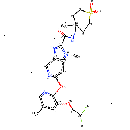 Cc1cnc(Oc2cc3c(cn2)nc(C(=O)NC2(C)CCS(=O)(=O)CC2)n3C)c(OCC(F)F)c1